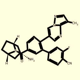 Cc1cnn2cc(-c3ccc(C(=O)N4[C@@H]5CC[C@H]4C[C@@H](N)C5)cc3-c3ccc(C#N)c(F)c3)cnc12